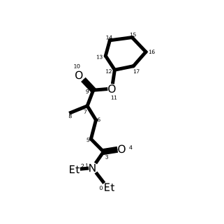 CCN(CC)C(=O)CCC(C)C(=O)OC1CCCCC1